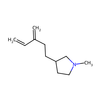 C=CC(=C)CCC1CCN(C)C1